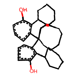 Oc1cccc(C2(c3cccc(O)c3C3CCCCC3)CCCCCCC2)c1C1CCCCC1